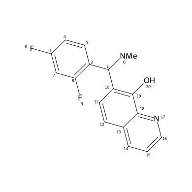 CNC(c1ccc(F)cc1F)c1ccc2cccnc2c1O